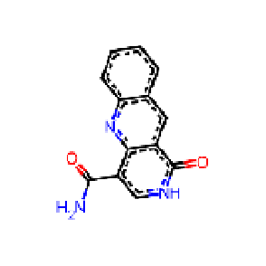 NC(=O)c1c[nH]c(=O)c2cc3ccccc3nc12